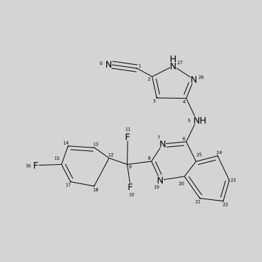 N#Cc1cc(Nc2nc(C(F)(F)C3C=CC(F)=CC3)nc3ccccc23)n[nH]1